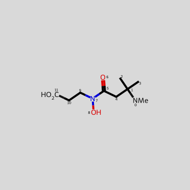 CNC(C)(C)CC(=O)N(O)CCC(=O)O